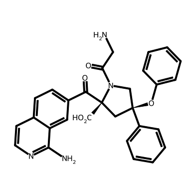 NCC(=O)N1C[C@](Oc2ccccc2)(c2ccccc2)C[C@]1(C(=O)O)C(=O)c1ccc2ccnc(N)c2c1